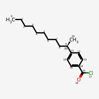 CCCCCCCCC[C@@H](C)c1ccc(C(=O)Cl)cc1